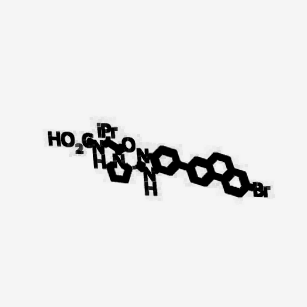 CC(C)[C@H](NC(=O)O)C(=O)N1CCC[C@H]1c1nc2ccc(-c3ccc4c(c3)CCc3cc(Br)ccc3-4)cc2[nH]1